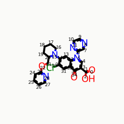 O=C(O)c1cn(-c2cnccn2)c2cc(N3CCCCC3COc3ccccn3)c(Cl)cc2c1=O